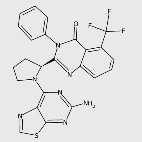 Nc1nc(N2CCC[C@H]2c2nc3cccc(C(F)(F)F)c3c(=O)n2-c2ccccc2)c2ncsc2n1